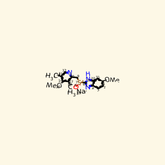 COc1ccc2nc([S+]([O-])Cc3ncc(C)c(OC)c3C)[nH]c2c1.[Na]